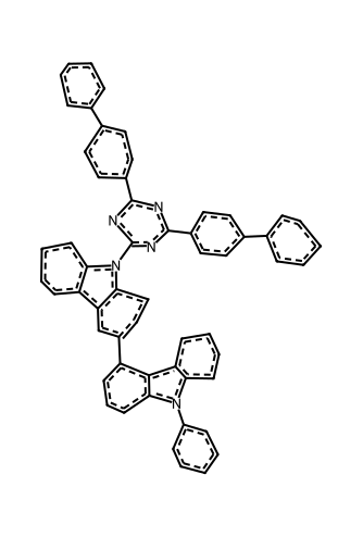 c1ccc(-c2ccc(-c3nc(-c4ccc(-c5ccccc5)cc4)nc(-n4c5ccccc5c5cc(-c6cccc7c6c6ccccc6n7-c6ccccc6)ccc54)n3)cc2)cc1